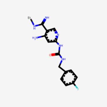 CCNC(=N)c1cnc(NC(=O)NCc2ccc(F)cc2)cc1N